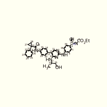 CCOC(=O)/N=[SH](=O)/c1ccc(Nc2ncc(-c3ccc(NC(=O)C4(c5ccccc5)CC4)cc3)c(NC(C)CO)n2)cc1